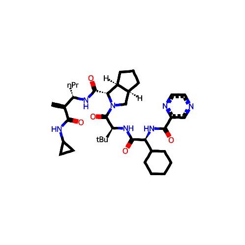 C=C(C(=O)NC1CC1)[C@H](CCC)NC(=O)[C@@H]1[C@H]2CCC[C@H]2CN1C(=O)[C@@H](NC(=O)[C@@H](NC(=O)c1cnccn1)C1CCCCC1)C(C)(C)C